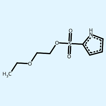 CCOCCOS(=O)(=O)c1ccc[nH]1